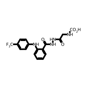 O=C(O)NCC(=O)NNC(=O)c1ccccc1Nc1ccc(C(F)(F)F)cc1